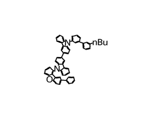 CCCCc1cccc(-c2cccc(-n3c4ccccc4c4cc(-c5ccc6c(c5)c5ccccc5n6-c5cccc6oc7ccc(-c8ccccc8)cc7c56)ccc43)c2)c1